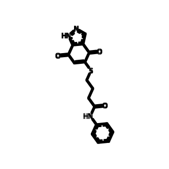 O=C(CCCSC1=CC(=O)c2[nH]ncc2C1=O)Nc1ccccc1